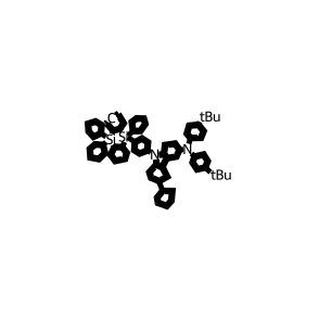 CC(C)(C)c1ccc(N(c2ccc(C(C)(C)C)cc2)c2ccc3c(c2)c2cc(-c4ccccc4)ccc2n3-c2ccc([Si]3(c4ccccc4)c4ccccc4[Si](c4ccccc4)(c4ccccc4)c4ccccc43)cc2)cc1